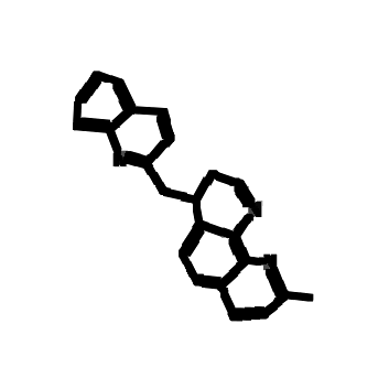 Cc1ccc2ccc3c(c2n1)N=CCC3Cc1ccc2ccccc2n1